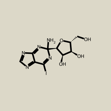 NC1([C@H]2O[C@H](CO)[C@@H](O)[C@H]2O)N=C(I)C2=NC=NC2=N1